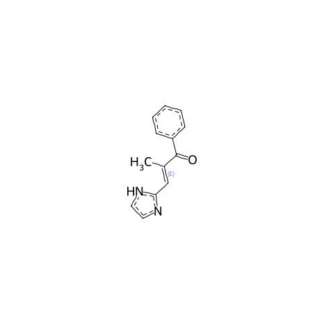 C/C(=C\c1ncc[nH]1)C(=O)c1ccccc1